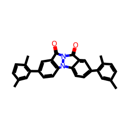 Cc1ccc(C)c(-c2ccc3c(c2)c(=O)n2c(=O)c4cc(-c5cc(C)ccc5C)ccc4n32)c1